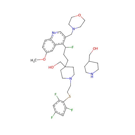 COc1ccc2ncc(CN3CCOCC3)c(C(F)CCC3(CO)CCN(CCSc4c(F)cc(F)cc4F)CC3)c2c1.OCC1CCNCC1